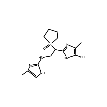 Cc1c[nH]c(NCC(c2nc(C)c(O)[nH]2)P2(=O)CCCC2)n1